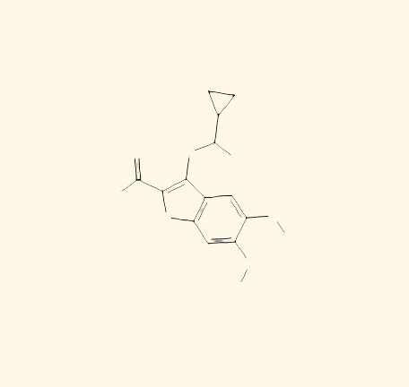 COc1cc2sc(C(=O)O)c(OC(C)C3CC3)c2cc1OC